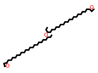 CCC(CCCCCCCCCCCCCCCCCCC1CCO1)OC(CC)CCCCCCCCCCCCCCCCCCC1CCO1